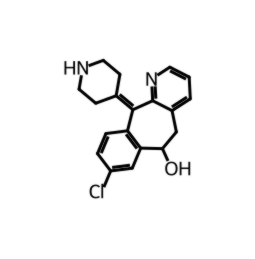 OC1Cc2cccnc2C(=C2CCNCC2)c2ccc(Cl)cc21